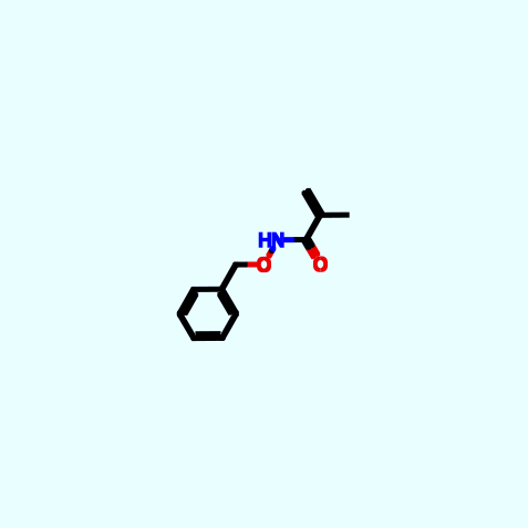 C=C(C)C(=O)NOCc1ccccc1